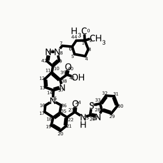 CC1(C)CCCC(Cn2cc(-c3ccc(N4CCc5cccc(C(=O)Nc6nc7ccccc7s6)c5C4)nc3C(=O)O)cn2)C1